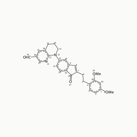 COc1ccc(CCC2=Cc3cc(N4CCCc5cc(C=O)cnc54)ccc3C2=O)c(OC)c1